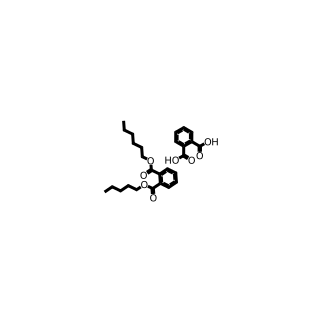 CCCCCCOC(=O)c1ccccc1C(=O)OCCCCC.O=C(O)c1ccccc1C(=O)O